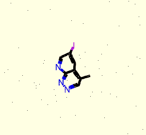 Cc1cnnc2ncc(I)cc12